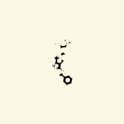 CC(C)C(CN(C)C)OC(=O)N1Cc2c(NC(=O)c3ccccc3)n[nH]c2C1(C)C